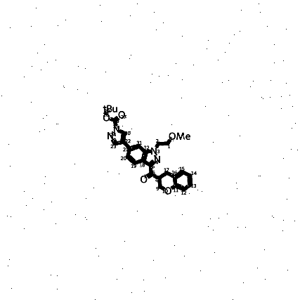 COCCn1nc(C(=O)C2COc3ccccc3C2)c2ccc(-c3cnn(C(=O)OC(C)(C)C)c3)cc21